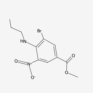 CCCNc1c(Br)cc(C(=O)OC)cc1[N+](=O)[O-]